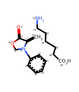 C=C1C(=O)OCN1c1ccccc1.NCCCCCC(=O)O